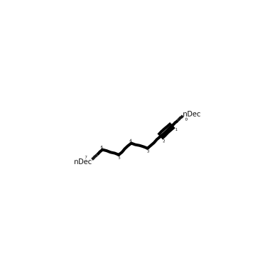 [CH2]CCCCCCCCCC#CCCCCCCCCCCCCC[CH2]